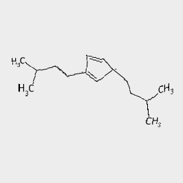 CC(C)CC[C]1C=CC(CCC(C)C)=C1